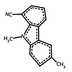 Cc1ccc2c(c1)c1cccc(C#N)c1n2C